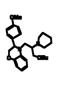 COc1ccc(C2COc3ccccc3N2CC(COCC(C)C)N2CCCCC2)cc1